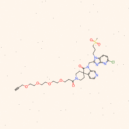 C#CCOCCOCCOCCOCCC(=O)N1CCC2(CC1)C(=O)N(Cc1nc3nc(Cl)ccc3n1CCCS(C)(=O)=O)c1cnccc12